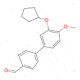 COc1ccc(-c2ccc(C=O)cc2)cc1OC1CCCC1